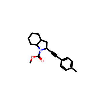 COC(=O)N1C(C#Cc2ccc(C)cc2)CC2CCCCC21